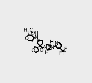 CO[C@@H]1COCC[C@@H]1N[C@@H]1CC[C@@](C(=O)N2C[C@@H]3C[C@H]2CN3c2cc(C(F)(F)F)ccn2)(C2CCOC2)C1